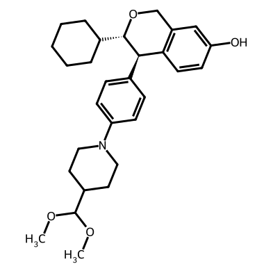 COC(OC)C1CCN(c2ccc([C@@H]3c4ccc(O)cc4CO[C@H]3C3CCCCC3)cc2)CC1